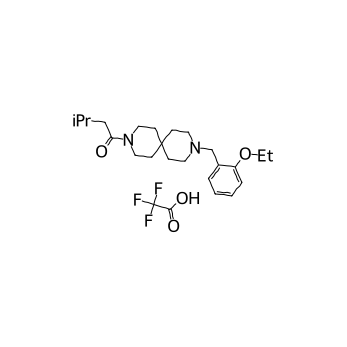 CCOc1ccccc1CN1CCC2(CC1)CCN(C(=O)CC(C)C)CC2.O=C(O)C(F)(F)F